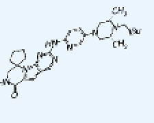 CCC(C)CN1[C@H](C)CN(c2ccc(Nc3ncc4cc5n(c4n3)C3(CCCC3)CNC5=O)nc2)C[C@@H]1C